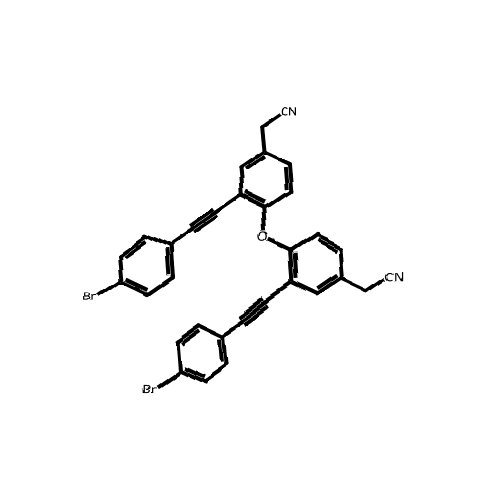 N#CCc1ccc(Oc2ccc(CC#N)cc2C#Cc2ccc(Br)cc2)c(C#Cc2ccc(Br)cc2)c1